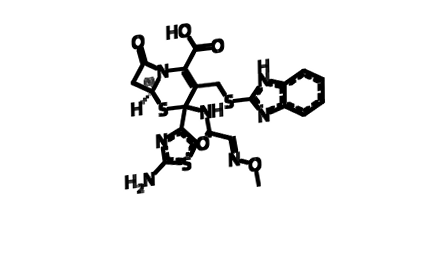 CON=CC(=O)NC1(c2csc(N)n2)S[C@H]2CC(=O)N2C(C(=O)O)=C1CSc1nc2ccccc2[nH]1